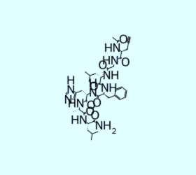 C#CC[C@H](NC(C)=O)C(=O)NCC(=O)N[C@@H](CC(C)C)C(=O)N[C@@H](Cc1ccccc1)C(=O)N[C@@H](Cc1cnc[nH]1)C(=O)N[C@@H](C)C(=O)N[C@@H](CC(C)C)C(N)=O